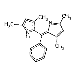 CC1=CC(C)=NC1=C(c1ccccc1)c1[nH]c(C)cc1C